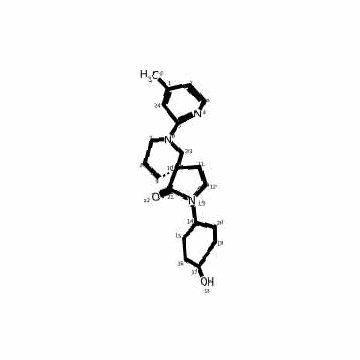 Cc1[c]cnc(N2CCC[C@@]3(CCN(C4CCC(O)CC4)C3=O)C2)c1